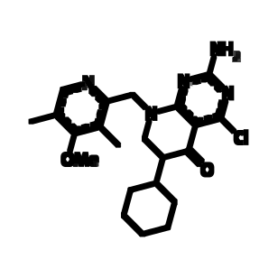 COc1c(C)cnc(CN2CC(C3CCCCC3)C(=O)c3c(Cl)nc(N)nc32)c1C